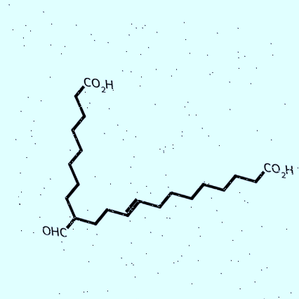 O=CC(CCC=CCCCCCCCC(=O)O)CCCCCCCC(=O)O